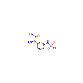 CCS(=O)(=O)Nc1cccc([C@@H](N)C([NH])=O)c1